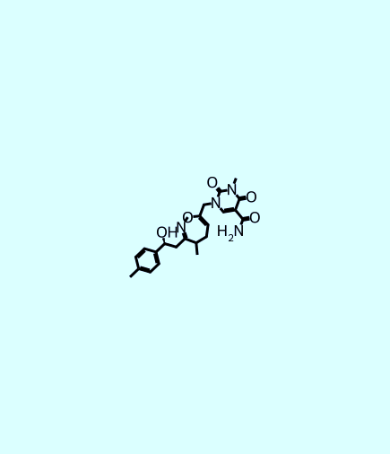 Cc1ccc([C@@H](O)CC2=NOC(Cn3cc(C(N)=O)c(=O)n(C)c3=O)=CCC2C)cc1